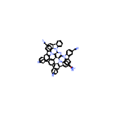 N#Cc1ccc2c(c1)c1cc(C#N)ccc1n2-c1nc(-n2c3ccccc3c3ccccc32)c(-n2c3ccc(C#N)cc3c3cc(C#N)ccc32)c(-c2cc(-c3ccccc3)cc(-c3ccccc3)c2)c1-n1c2ccc(C#N)cc2c2cc(C#N)ccc21